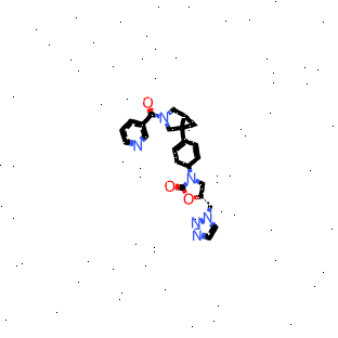 O=C(c1cccnc1)N1CC2CC2(C2=CCC(N3C[C@H](Cn4ccnn4)OC3=O)C=C2)C1